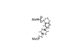 CNC(=O)OC1CCCc2ccc(N3CCN(CCOC)CC3)cc21